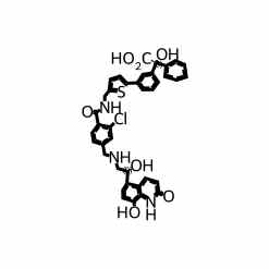 O=C(NCc1ccc(-c2cccc([C@](O)(C(=O)O)c3ccccc3)c2)s1)c1ccc(CNC[C@H](O)c2ccc(O)c3[nH]c(=O)ccc23)cc1Cl